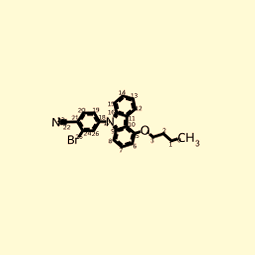 CCCCOc1cccc2c1c1ccccc1n2-c1ccc(C#N)c(Br)c1